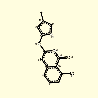 CCc1cccc2nc(Oc3cc(C)cs3)oc(=O)c12